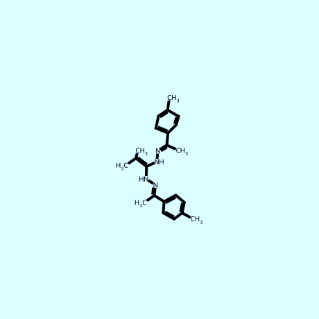 CC(C)=C(N/N=C(\C)c1ccc(C)cc1)N/N=C(\C)c1ccc(C)cc1